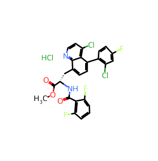 COC(=O)[C@H](Cc1ccc(-c2ccc(F)cc2Cl)c2c(Cl)ccnc12)NC(=O)c1c(F)cccc1F.Cl